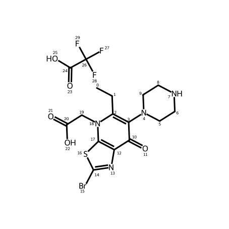 CCc1c(N2CCNCC2)c(=O)c2nc(Br)sc2n1CC(=O)O.O=C(O)C(F)(F)F